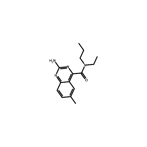 CCCN(CC)C(=O)c1nc(N)nc2ccc(C)cc12